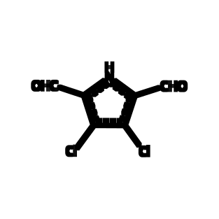 O=Cc1[nH]c(C=O)c(Cl)c1Cl